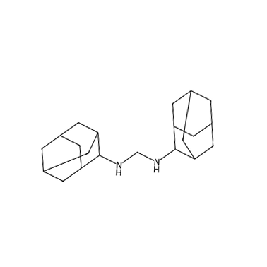 C(NC1C2CC3CC(C2)CC1C3)NC1C2CC3CC(C2)CC1C3